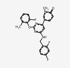 Cc1cccc(F)c1Oc1nc(NCc2ccc(F)cc2F)cc(-c2ccc(=O)n(C)c2)n1